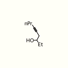 CCCC#CCC(O)CC